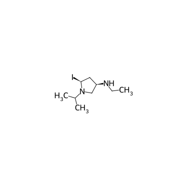 CCN[C@@H]1C[C@H](I)N(C(C)C)C1